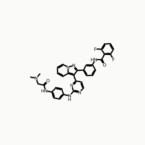 CN(C)CC(=O)Nc1ccc(Nc2nccc(-c3c(-c4cccc(NC(=O)c5c(F)cccc5F)c4)nn4ccccc34)n2)cc1